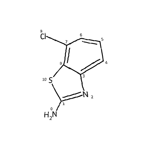 Nc1nc2cccc(Cl)c2s1